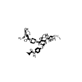 COc1c(Nc2cc(C)[nH]n2)nc(Sc2ccc(NC(=O)C3CC3)cc2)nc1N1CCN(C(=O)CN(C)C)CC1